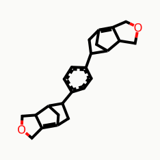 c1cc(C2CC3=C4COCC4C2C3)ccc1C1CC2=C3COCC3C1C2